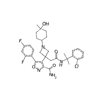 CC1(O)CCC(N2CC(CC(=O)NC(C)(C)c3ccccc3Cl)(c3c(C(N)=O)noc3-c3ccc(F)cc3F)C2)CC1